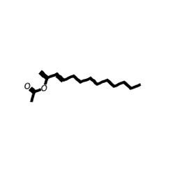 C=C(/C=C/CCCCCCCCC)OC(C)=O